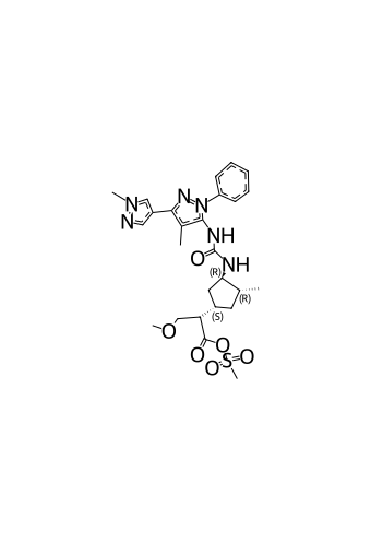 COCC(C(=O)OS(C)(=O)=O)[C@H]1C[C@@H](C)[C@H](NC(=O)Nc2c(C)c(-c3cnn(C)c3)nn2-c2ccccc2)C1